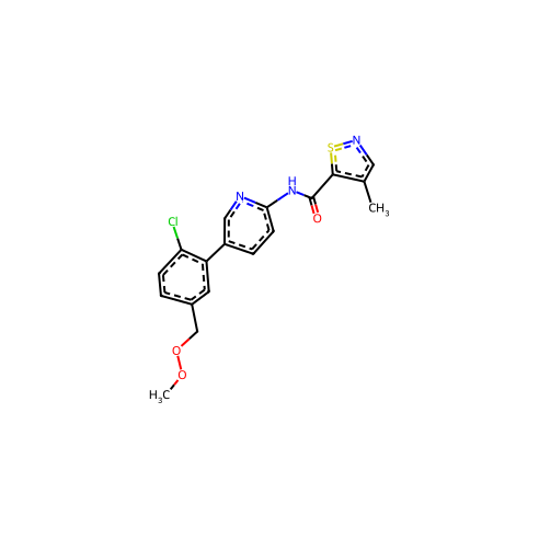 COOCc1ccc(Cl)c(-c2ccc(NC(=O)c3sncc3C)nc2)c1